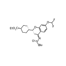 CCOC(=O)[C@H]1CC[C@H]([C@H]2C/C(=N\[S@+]([O-])C(C)(C)C)c3ccc(OC(F)F)cc3O2)CC1